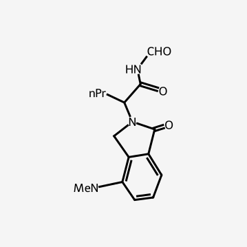 CCCC(C(=O)NC=O)N1Cc2c(NC)cccc2C1=O